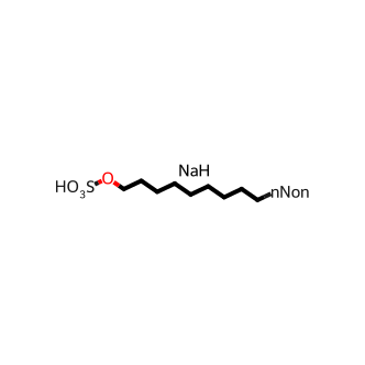 CCCCCCCCCCCCCCCCCCOS(=O)(=O)O.[NaH]